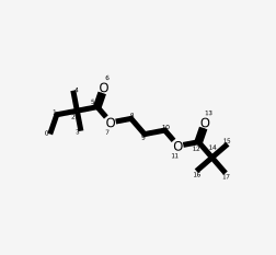 CCC(C)(C)C(=O)OCCCOC(=O)C(C)(C)C